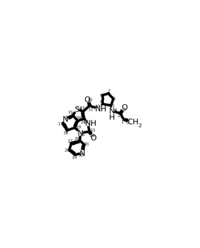 C=CC(=O)N[C@@H]1CCC[C@@H]1NC(=O)c1sc2nccc3c2c1NC(=O)N3c1cccnc1